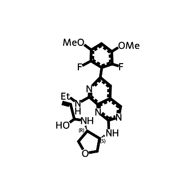 C=CC(O)N[C@H]1COC[C@H]1Nc1ncc2cc(-c3c(F)c(OC)cc(OC)c3F)nc(NCC)c2n1